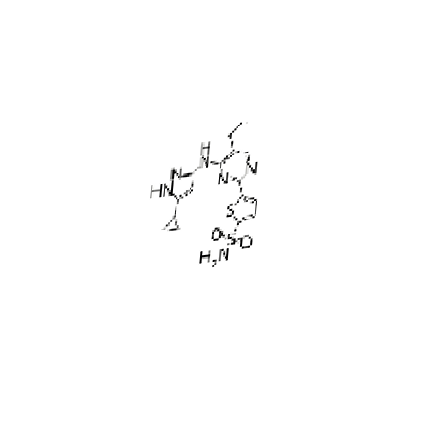 [CH2]Cc1cnc(-c2ccc(S(N)(=O)=O)s2)nc1Nc1cc(C2CC2)[nH]n1